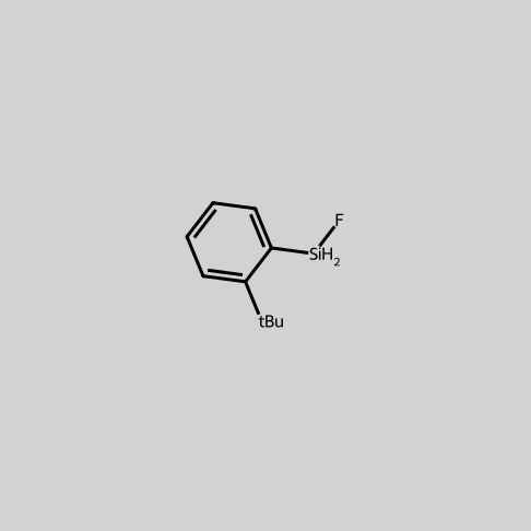 CC(C)(C)c1ccccc1[SiH2]F